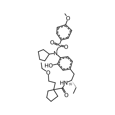 CCOCCC1(C(=O)N[C@@H](CC)Cc2ccc(N(C3CCCC3)S(=O)(=O)c3ccc(OC)cc3)c(O)c2)CCCC1